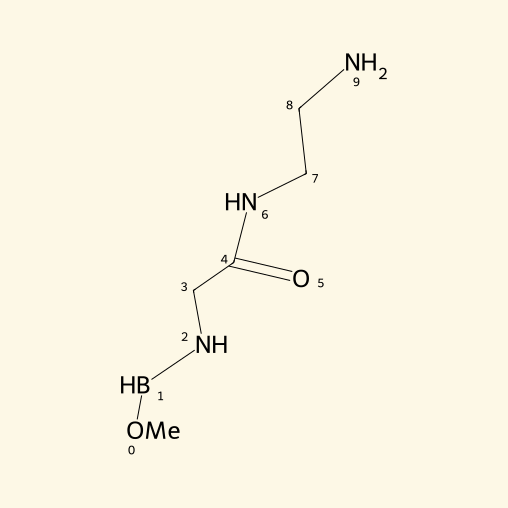 COBNCC(=O)NCCN